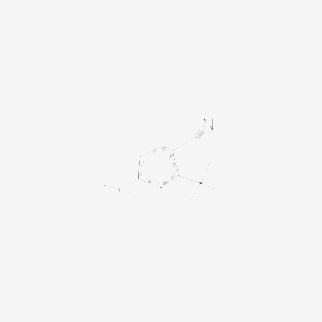 COc1ccc(C#N)c(C(C)(C)C)c1